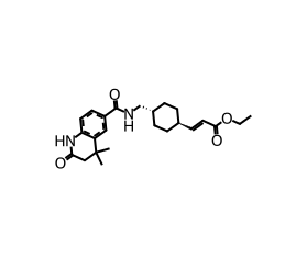 CCOC(=O)/C=C/[C@H]1CC[C@H](CNC(=O)c2ccc3c(c2)C(C)(C)CC(=O)N3)CC1